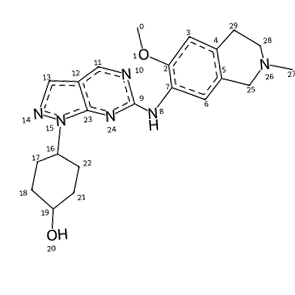 COc1cc2c(cc1Nc1ncc3cnn(C4CCC(O)CC4)c3n1)CN(C)CC2